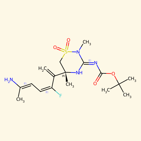 C=C(/C(F)=C\C=C(/C)N)[C@]1(C)CS(=O)(=O)N(C)/C(=N/C(=O)OC(C)(C)C)N1